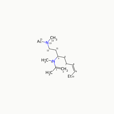 C=C(C)N(C)C(CC/C=C\CC)CCN(C)C(C)=O